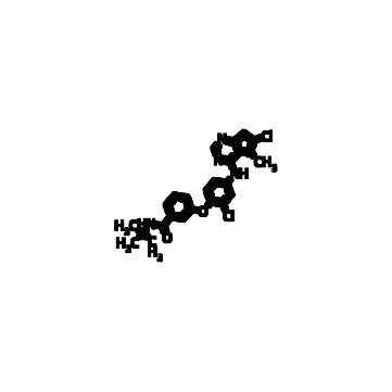 Cn1c(Cl)cc2ncnc(Nc3ccc(Oc4cccc(C(=O)NC(C)(C)C)c4)c(Cl)c3)c21